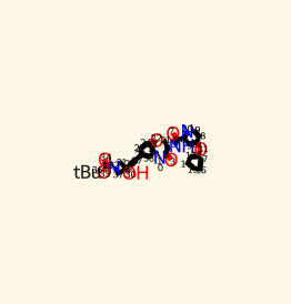 CN1C(=O)C(NC(=O)c2cc(Oc3ccccc3)ccn2)COc2ccc(C#CC3(O)CN(C(=O)OC(C)(C)C)C3)cc21